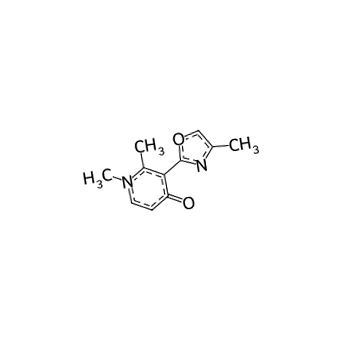 Cc1coc(-c2c(C)n(C)ccc2=O)n1